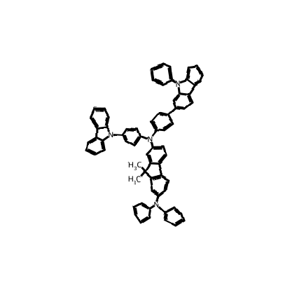 CC1(C)c2cc(N(c3ccccc3)c3ccccc3)ccc2-c2ccc(N(c3ccc(-c4ccc5c6ccccc6n(-c6ccccc6)c5c4)cc3)c3ccc(-n4c5ccccc5c5ccccc54)cc3)cc21